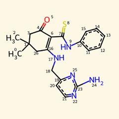 CC1(C)CC(=O)C(C(=S)Nc2ccccc2)=C(NCc2ccnc(N)n2)C1